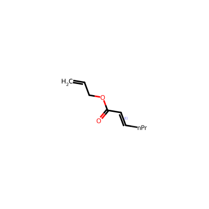 C=CCOC(=O)/C=C/CCC